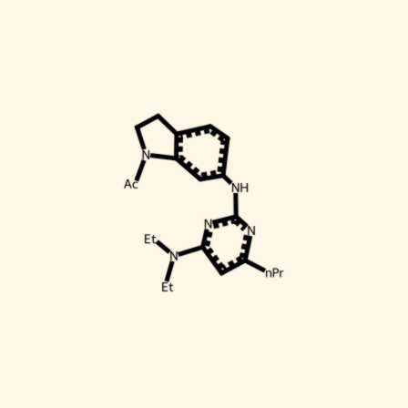 CCCc1cc(N(CC)CC)nc(Nc2ccc3c(c2)N(C(C)=O)CC3)n1